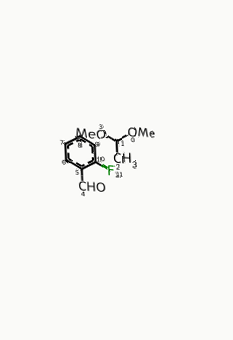 COC(C)OC.O=Cc1ccccc1F